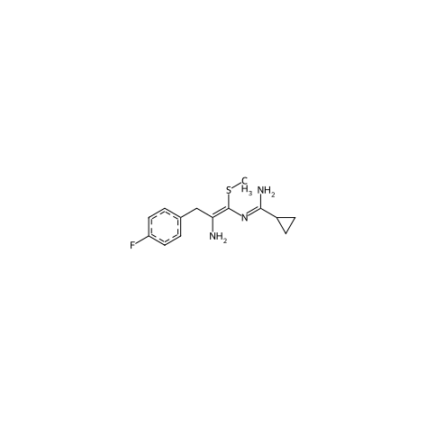 CSC(/N=C(\N)C1CC1)=C(/N)Cc1ccc(F)cc1